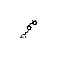 CNCCCCc1ccc(Cc2ccccc2C)cc1